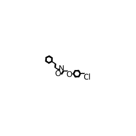 ClCc1ccc(OCc2coc(C=Cc3ccccc3)n2)cc1